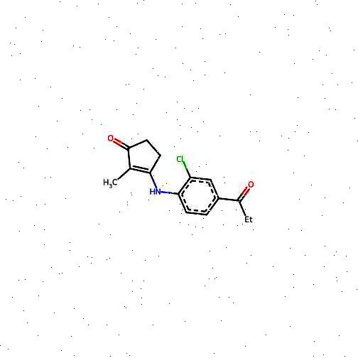 CCC(=O)c1ccc(NC2=C(C)C(=O)CC2)c(Cl)c1